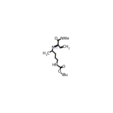 C=C/C(=N\C(C)CCCNC(=O)OC(C)(C)C)C(=O)NC